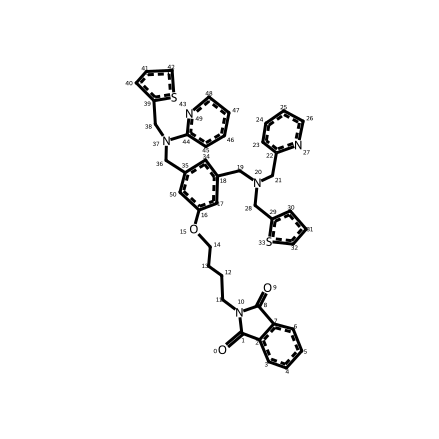 O=C1c2ccccc2C(=O)N1CCCCOc1cc(CN(Cc2ccccn2)Cc2cccs2)cc(CN(Cc2cccs2)c2ccccn2)c1